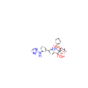 C[C@@](NS(=O)(=O)c1ccccc1)(C(=O)O)C(=O)c1ccc(-c2cccc(Nc3ncccn3)c2)cc1